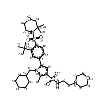 Cc1c(S(=O)(=O)NCCN2CCOCC2)cc(-c2ccc(S(=O)(=O)N3CCOCC3(C)C)c(C(C)(C)C)c2)n1CC1CCCCC1